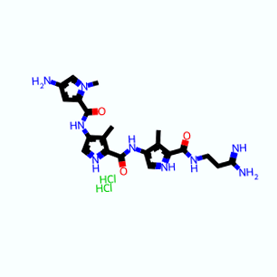 Cc1c(NC(=O)c2[nH]cc(NC(=O)c3cc(N)cn3C)c2C)c[nH]c1C(=O)NCCC(=N)N.Cl.Cl